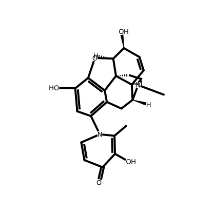 Cc1c(O)c(=O)ccn1-c1cc(O)c2c3c1C[C@@H]1[C@@H]4C=C[C@H](O)[C@H](O2)[C@]34CCN1C